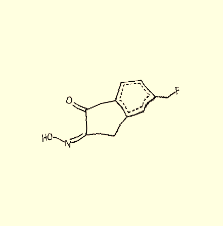 O=C1C(=NO)Cc2cc(F)ccc21